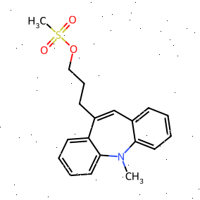 CN1c2ccccc2C=C(CCCOS(C)(=O)=O)c2ccccc21